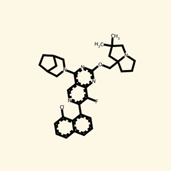 CC1(C)CN2CCCC2(COc2nc(N3CC4CCC(C4)C3)c3cnc(-c4cccc5cccc(Cl)c45)c(F)c3n2)C1